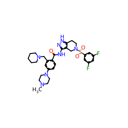 CN1CCN(c2ccc(C(=O)Nc3n[nH]c4c3CN(S(=O)(=O)c3cc(F)cc(F)c3)CC4)c(CN3CCCCC3)c2)CC1